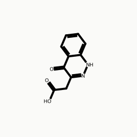 O=C(O)Cc1n[nH]c2ccccc2c1=O